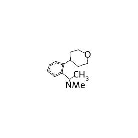 CNC(C)c1ccccc1C1CCOCC1